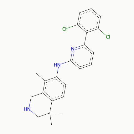 Cc1c(Nc2cccc(-c3c(Cl)cccc3Cl)n2)ccc2c1CNCC2(C)C